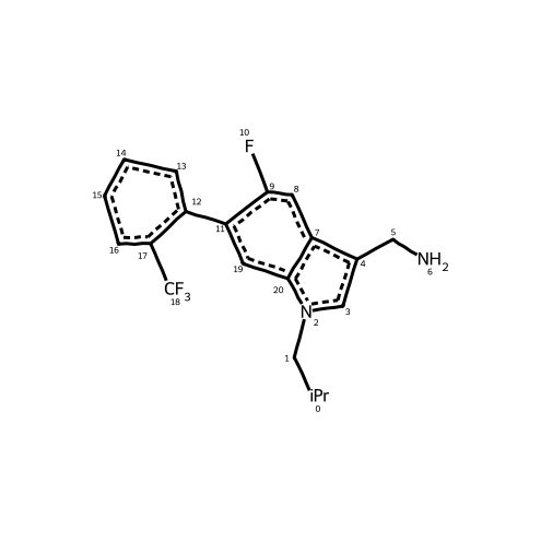 CC(C)Cn1cc(CN)c2cc(F)c(-c3ccccc3C(F)(F)F)cc21